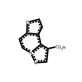 O=C(O)c1cnn2ccc3occc3c12